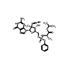 CC(C)OC(=O)[C@@H](C)NP(=O)(OC[C@H]1O[C@@H](n2cnc3c(=O)[nH]c(N)nc32)[C@](C)(N=[N+]=[N-])[C@@H]1O)Oc1ccccc1